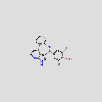 Oc1c(F)cc(C2Nc3ccccc3-c3ccnc4[nH]cc2c34)cc1F